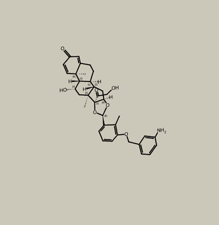 Cc1c(OCc2cccc(N)c2)cccc1[C@@H]1O[C@@H]2C[C@H]3[C@@H]4CCC5=CC(=O)C=C[C@]5(C)[C@H]4[C@@H](O)C[C@]3(C)[C@]2(C(=O)CO)O1